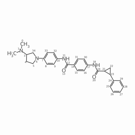 CN(C)C1CCN(c2ccc(NC(=O)c3ccc(NC(=O)C4CC4c4ccccc4)cc3)cc2)C1